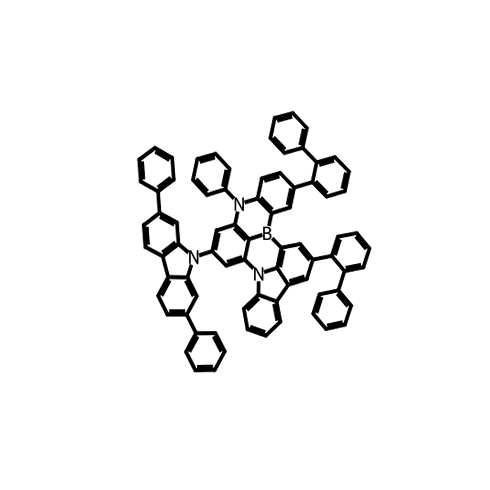 c1ccc(-c2ccc3c4ccc(-c5ccccc5)cc4n(-c4cc5c6c(c4)-n4c7ccccc7c7cc(-c8ccccc8-c8ccccc8)cc(c74)B6c4cc(-c6ccccc6-c6ccccc6)ccc4N5c4ccccc4)c3c2)cc1